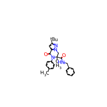 Cc1ccc(N2C(=O)c3cc(C(C)(C)C)nn3CC2(C)C(=O)NCc2ccccc2)cc1